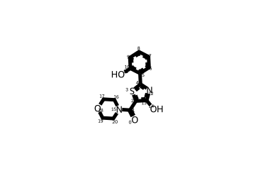 O=C(c1sc(-c2ccccc2O)nc1O)N1CCOCC1